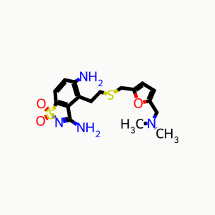 CN(C)Cc1ccc(CSCCc2c(N)ccc3c2C(N)=NS3(=O)=O)o1